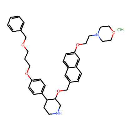 Cl.c1ccc(COCCCOc2ccc(C3CCNCC3OCc3ccc4cc(OCCN5CCOCC5)ccc4c3)cc2)cc1